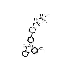 CCOC(=O)[C@H](C)NC(=O)CC1CCN(c2ccc(NC(=O)c3ccccc3-c3ccc(C(F)(F)F)cc3)cc2)CC1